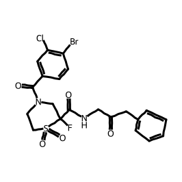 O=C(CNC(=O)C1(F)CN(C(=O)c2ccc(Br)c(Cl)c2)CCS1(=O)=O)Cc1ccccc1